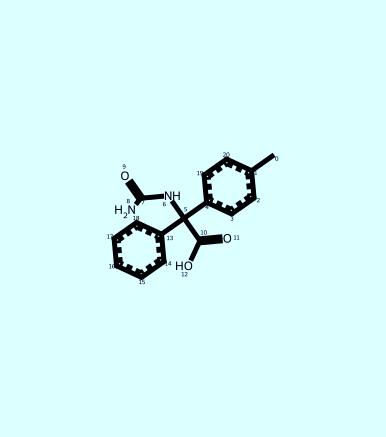 Cc1ccc(C(NC(N)=O)(C(=O)O)c2ccccc2)cc1